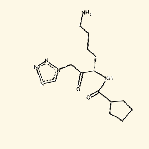 NCCCC[C@H](NC(=O)C1CCCC1)C(=O)Cn1cnnn1